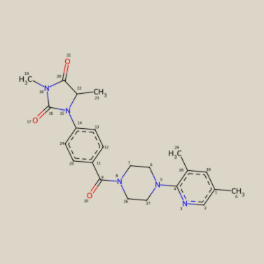 Cc1cnc(N2CCN(C(=O)c3ccc(N4C(=O)N(C)C(=O)C4C)cc3)CC2)c(C)c1